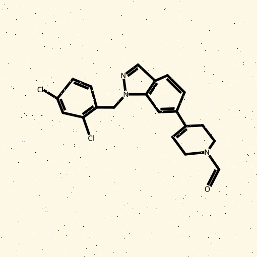 O=CN1CC=C(c2ccc3cnn(Cc4ccc(Cl)cc4Cl)c3c2)CC1